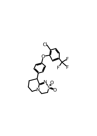 O=S1(=O)CCN2CCCC(c3ccc(Oc4cc(C(F)(F)F)ccc4Cl)cc3)C2=N1